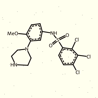 COc1ccc(NS(=O)(=O)c2ccc(Cl)c(Cl)c2Cl)cc1N1CCNCC1